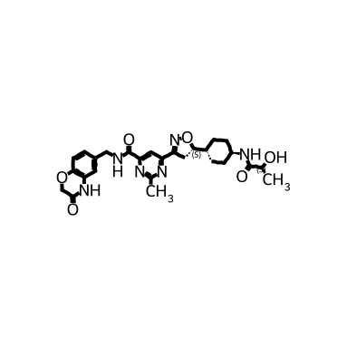 Cc1nc(C(=O)NCc2ccc3c(c2)NC(=O)CO3)cc(C2=NO[C@H]([C@H]3CC[C@H](NC(=O)[C@H](C)O)CC3)C2)n1